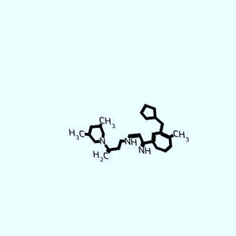 C=C(CCN/C=C\C(=N)C1=CC(CC2CCCC2)=C(C)CCC1)N1CC(C)CC(C)C1